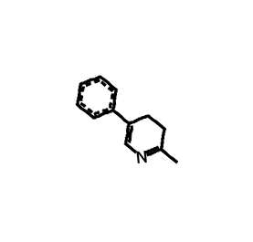 CC1=NC=C(c2ccccc2)CC1